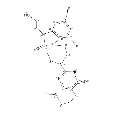 CN1CCCc2c1nc(N1CCC3(CC1)C(=O)N(CCO)c1cc(F)cc(F)c13)[nH]c2=O